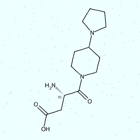 N[C@@H](CC(=O)O)C(=O)N1CCC(N2CCCC2)CC1